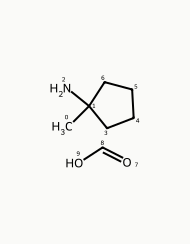 CC1(N)CCCC1.O=CO